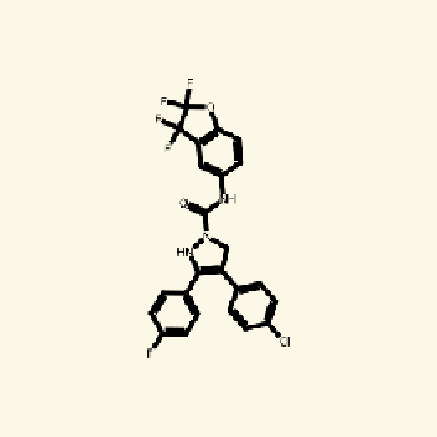 O=C(Nc1ccc2c(c1)C(F)(F)C(F)(F)O2)N1CC(c2ccc(Cl)cc2)=C(c2ccc(F)cc2)N1